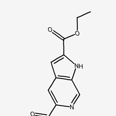 CCOC(=O)c1cc2cc(C=O)ncc2[nH]1